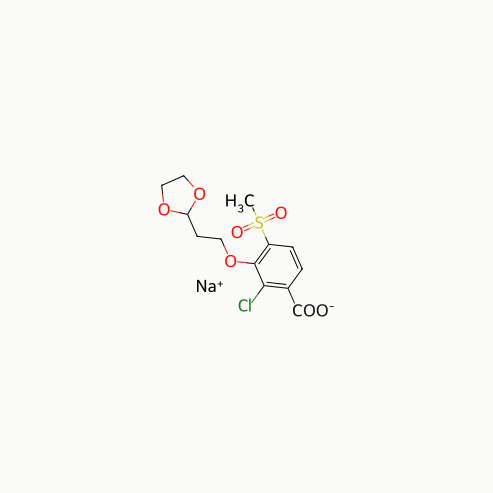 CS(=O)(=O)c1ccc(C(=O)[O-])c(Cl)c1OCCC1OCCO1.[Na+]